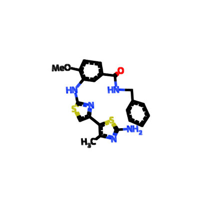 COc1ccc(C(=O)NCc2ccccc2)cc1Nc1nc(-c2sc(N)nc2C)cs1